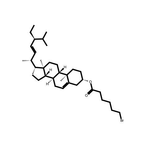 CC[C@H](/C=C/[C@@H](C)[C@H]1CC[C@H]2[C@@H]3CC=C4C[C@@H](OC(=O)CCCCCBr)CC[C@]4(C)[C@H]3CC[C@]12C)C(C)C